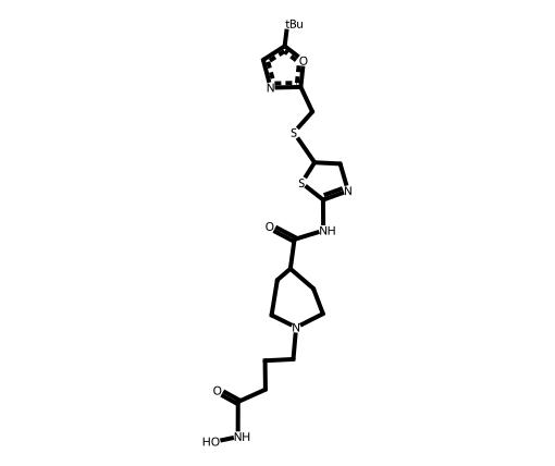 CC(C)(C)c1cnc(CSC2CN=C(NC(=O)C3CCN(CCCC(=O)NO)CC3)S2)o1